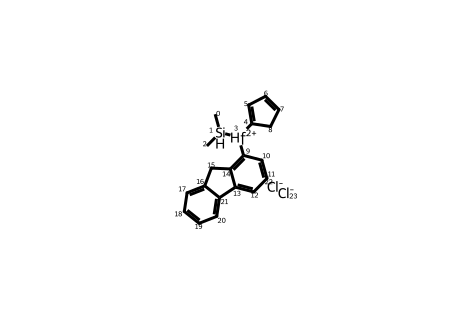 C[SiH](C)[Hf+2]([C]1=CC=CC1)[c]1cccc2c1Cc1ccccc1-2.[Cl-].[Cl-]